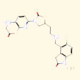 CN1C(=O)Cc2c1ccc(F)c2CNCCC1CN(c2ccc3c(n2)OC(=O)CN3)C(=O)O1